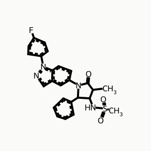 CC1C(=O)N(c2ccc3c(cnn3-c3ccc(F)cc3)c2)C(c2ccccc2)C1NS(C)(=O)=O